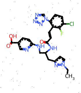 CCn1ccc(CC(CNc2ccc(C(=O)O)cn2)NC(=O)/C=C/c2c(-n3cnnn3)ccc(Cl)c2F)n1